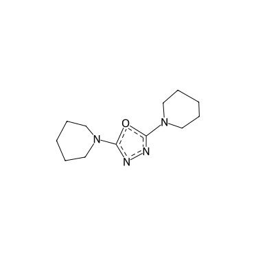 C1CCN(c2nnc(N3CCCCC3)o2)CC1